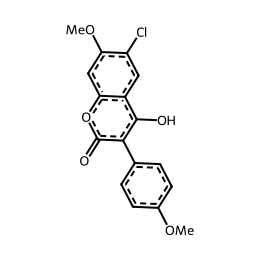 COc1ccc(-c2c(O)c3cc(Cl)c(OC)cc3oc2=O)cc1